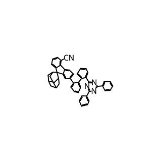 N#Cc1cccc2c1-c1ccc(-c3ccccc3-c3ccccc3-c3nc(-c4ccccc4)nc(-c4ccccc4)n3)cc1C21C2CC3CC(C2)CC1C3